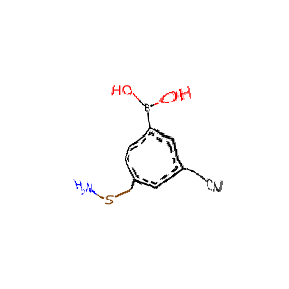 N#Cc1cc(SN)cc(B(O)O)c1